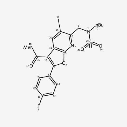 CCCCN(Cc1nc2oc(-c3ccc(F)cc3)c(C(=O)NC)c2cc1I)[SH](=O)=O